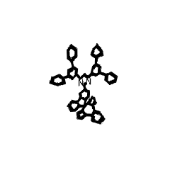 c1ccc(-c2cc(-c3ccccc3)cc(-c3cc(-c4cc(-c5ccccc5)cc(-c5ccccc5)c4)nc(-c4ccc5c(c4)-c4ccccc4C54c5ccccc5-c5ccccc5-c5ccccc54)n3)c2)cc1